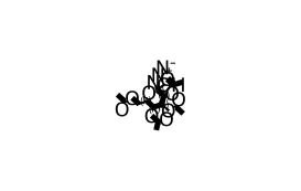 CC(=O)OC[C@H]1O[C@](O)(N=[N+]=[N-])[C@H](OC(C)=O)[C@@H](OC(C)=O)[C@@H]1OC(C)=O